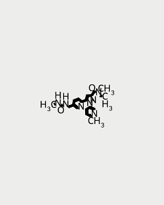 CCN(C)C(=O)c1cc(-c2ccc(CNC(=O)NC)cn2)n(-c2ccc(C)nc2)n1